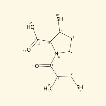 CC(CS)C(=O)N1CCC(S)C1C(=O)O